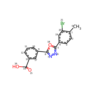 Cc1ccc(-c2nnc(-c3cccc(C(=O)O)c3)o2)cc1Br